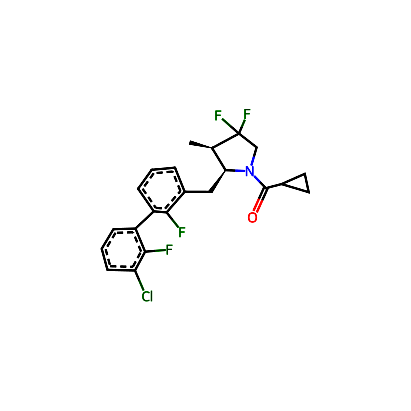 C[C@@H]1[C@H](Cc2cccc(-c3cccc(Cl)c3F)c2F)N(C(=O)C2CC2)CC1(F)F